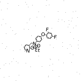 CCS(=O)(=O)N(Cc1cccnc1)c1ccc(Oc2ccc(F)cc2F)cc1